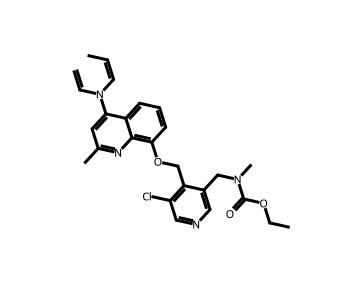 C=CN(/C=C\C)c1cc(C)nc2c(OCc3c(Cl)cncc3CN(C)C(=O)OCC)cccc12